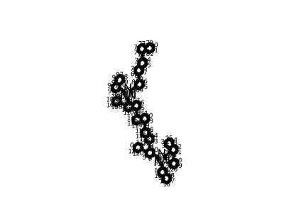 c1ccc(-c2ccc(-c3nc(-c4ccc5ccccc5c4)nc(-c4c(-c5ccccc5)ccc5ccccc45)n3)cc2-c2ccc3cc(-c4cccc5c(-c6cccc7c(-c8nc(-c9cccc(-c%10ccc%11cc(-c%12cccc%13ccccc%12%13)ccc%11c%10)c9)nc(-c9cccc%10ccccc9%10)n8)c(-c8ccccc8)ccc67)cccc45)ccc3c2)cc1